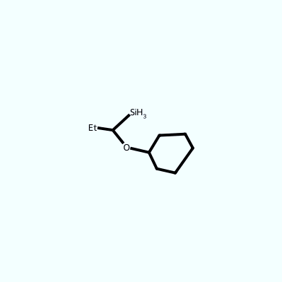 [CH2]CC([SiH3])OC1CCCCC1